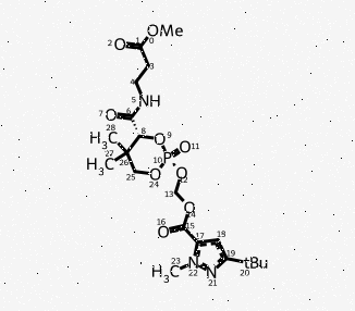 COC(=O)CCNC(=O)[C@@H]1O[P@](=O)(OCOC(=O)c2cc(C(C)(C)C)nn2C)OCC1(C)C